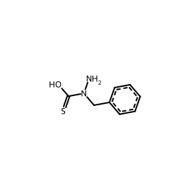 NN(Cc1ccccc1)C(O)=S